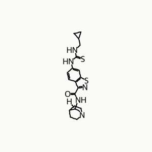 O=C(N[C@@H]1CN2CCC1CC2)c1nsc2cc(NC(=S)NCC3CC3)ccc12